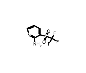 Nc1ncccc1S(=O)(=O)C(F)(F)F